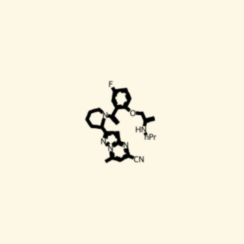 C=C(COc1ccc(F)cc1C(=C)N1CCCCC1c1cc2nc(C#N)cc(C)n2n1)NCCC